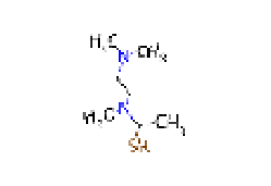 CC(S)N(C)CCN(C)C